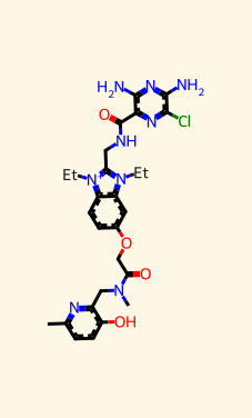 CCn1c(CNC(=O)c2nc(Cl)c(N)nc2N)[n+](CC)c2ccc(OCC(=O)N(C)Cc3nc(C)ccc3O)cc21